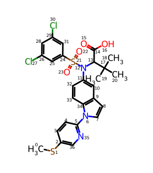 CSc1ccc(-n2ccc3cc(N(C(C(=O)O)C(C)(C)C)S(=O)(=O)c4cc(Cl)cc(Cl)c4)ccc32)nc1